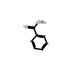 CC(C)COC(=O)c1c[c]ccc1